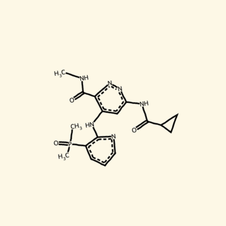 CNC(=O)c1nnc(NC(=O)C2CC2)cc1Nc1ncccc1P(C)(C)=O